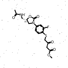 COC(=O)CC(=O)CSc1ccc(N2C[C@H](CNC(C)=O)OC2=O)cc1F